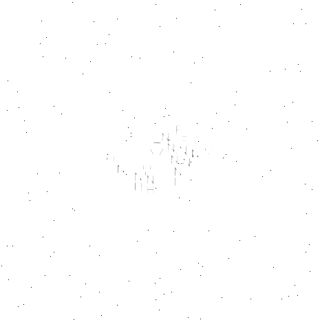 O=C(NCCN1CCOCC1)NC1CCC(Nc2nc(N3CCOCC3)nc(-n3c(C(F)F)nc4ccccc43)n2)CC1